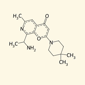 Cc1cc2c(=O)cc(N3CCC(C)(C)CC3)oc2c(C(C)N)n1